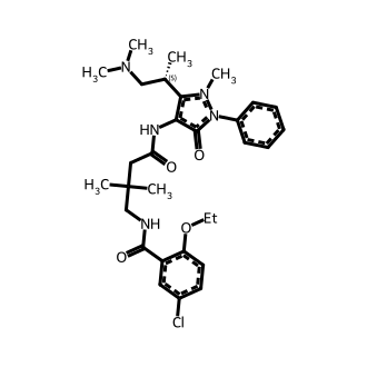 CCOc1ccc(Cl)cc1C(=O)NCC(C)(C)CC(=O)Nc1c([C@@H](C)CN(C)C)n(C)n(-c2ccccc2)c1=O